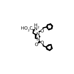 N[C@@H](CC1=CN(C(=O)OCc2ccccc2)CN1COCc1ccccc1)C(=O)O